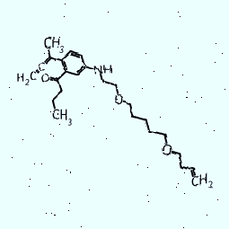 C=C=C(C)c1ccc(NCCOCCCCCOCCC=C)cc1C(=O)CCC